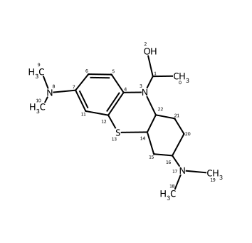 CC(O)N1c2ccc(N(C)C)cc2SC2CC(N(C)C)CCC21